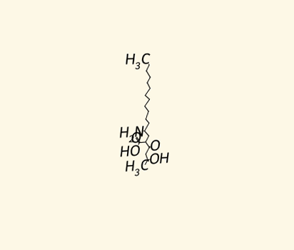 CCCCCCCCCCCCC(N)CC(C(=O)O)C(=O)CC(C)O